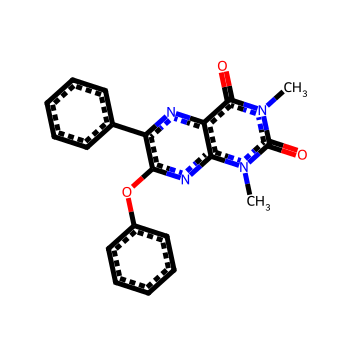 Cn1c(=O)c2nc(-c3ccccc3)c(Oc3ccccc3)nc2n(C)c1=O